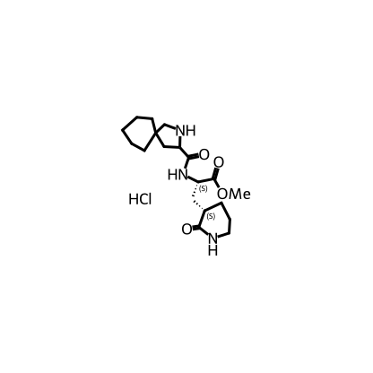 COC(=O)[C@H](C[C@@H]1CCCNC1=O)NC(=O)C1CC2(CCCCC2)CN1.Cl